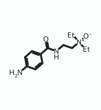 CC[N+]([O-])(CC)CCNC(=O)c1ccc(N)cc1